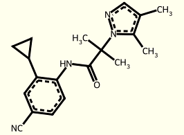 Cc1cnn(C(C)(C)C(=O)Nc2ccc(C#N)cc2C2CC2)c1C